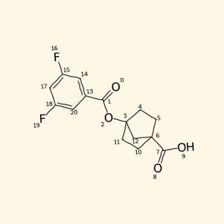 O=C(OC12CCC(C(=O)O)(CC1)C2)c1cc(F)cc(F)c1